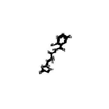 O=C(CNC(=O)c1cc(Cl)ccc1Br)NCB1OCC(=O)O1